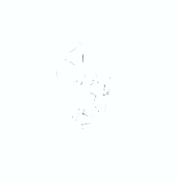 CC(C)(Nc1cc(Nc2cc(C3CC3)[nH]n2)nc(C2CC2)n1)c1ccc(F)cc1